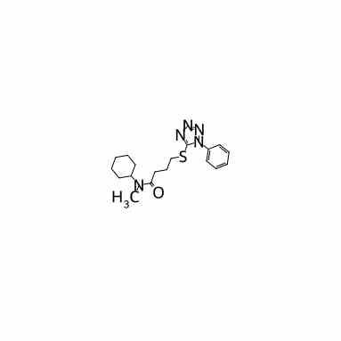 CN(C(=O)CCCSc1nnnn1-c1ccccc1)C1CCCCC1